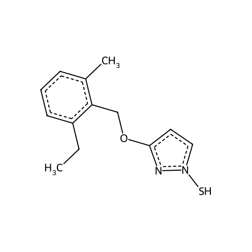 CCc1cccc(C)c1COc1ccn(S)n1